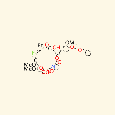 CCC1/C=C(\C)C(F)C(C)CC(OC)C2OC(O)(C(=O)C(=O)N3CCCCC3C(=O)OC(C(C)=CC3CCC(OCCOCc4ccccc4)C(OC)C3)C(C)C(O)CC1=O)C(C)CC2OC